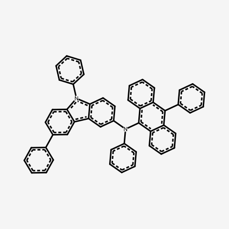 c1ccc(-c2ccc3c(c2)c2cc(N(c4ccccc4)c4c5ccccc5c(-c5ccccc5)c5ccccc45)ccc2n3-c2ccccc2)cc1